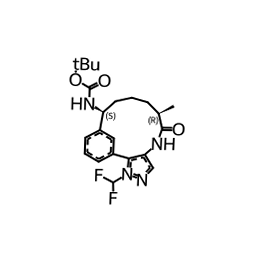 C[C@@H]1CCC[C@H](NC(=O)OC(C)(C)C)c2cccc(c2)-c2c(cnn2C(F)F)NC1=O